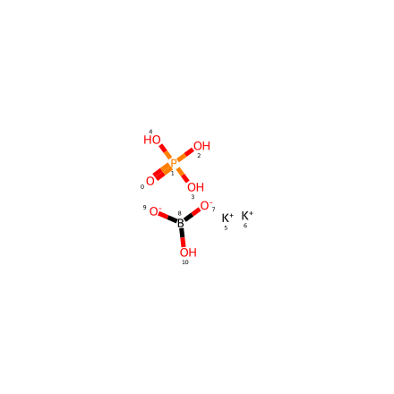 O=P(O)(O)O.[K+].[K+].[O-]B([O-])O